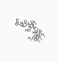 Cc1nc(N2CCC3(CC2)CO[C@@H](C)[C@H]3NC(=O)OC(C)(C)C)c(CO)nc1Sc1ccn2cc(-c3ccc[nH]3)nc2c1Cl